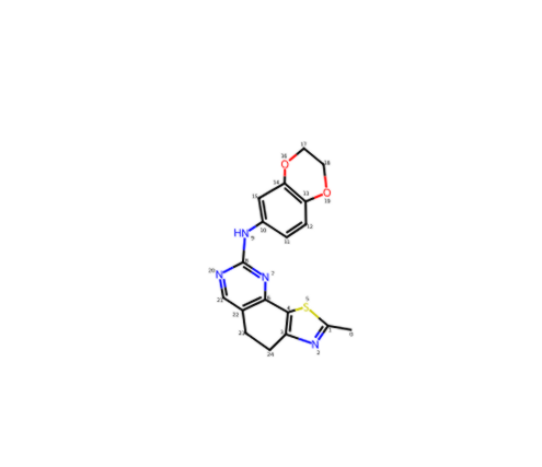 Cc1nc2c(s1)-c1nc(Nc3ccc4c(c3)OCCO4)ncc1CC2